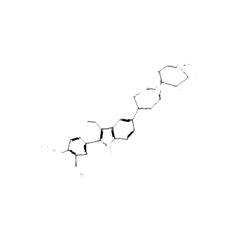 CCc1c(-c2ccc(OC)c(OC)c2)[nH]c2ccc(C3CCN(C4CCN(C)CC4)CC3)cc12